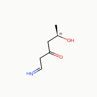 C[C@@H](O)CC(=O)CC=N